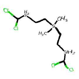 C[Si](C)(CC[SiH2]C(Cl)Cl)CC[SiH2]C(Cl)Cl